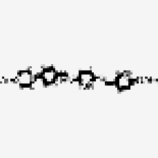 COc1ccc(COc2ccc(NCc3ccc(N4CCN(C(C)=O)CC4)cc3)nn2)cn1